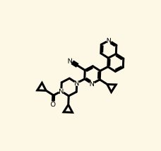 N#Cc1cc(-c2cccc3cnccc23)c(C2CC2)nc1N1CCN(C(=O)C2CC2)C(C2CC2)C1